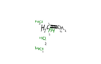 C=C.Cl.Cl.Cl.F